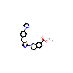 COC(=O)c1ccc2c(c1)CN(c1ncc(Cc3ccc(-n4cccn4)cc3)s1)CC2